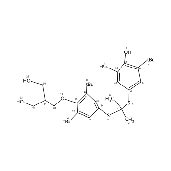 CC(C)(Sc1cc(C(C)(C)C)c(O)c(C(C)(C)C)c1)Sc1cc(C(C)(C)C)c(OCC(CO)CO)c(C(C)(C)C)c1